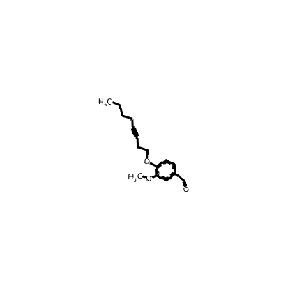 CCCCC#CCCOc1ccc(C=O)cc1OC